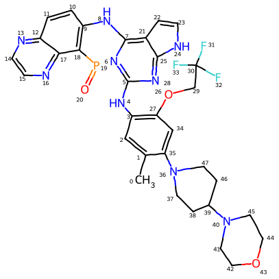 Cc1cc(Nc2nc(Nc3ccc4nccnc4c3P=O)c3cc[nH]c3n2)c(OCC(F)(F)F)cc1N1CCC(N2CCOCC2)CC1